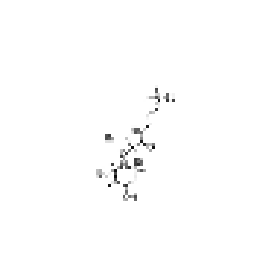 CCC1(C)CC(O)C(C)C(C)(CC)N1OC(C)(C)C(=O)NCCC[N+](C)(C)CC.[Br-]